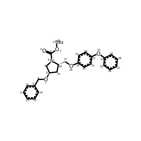 CC(C)(C)OC(=O)N1C[C@H](OCc2ccccc2)C[C@H]1COc1ccc(Oc2ccccc2)cc1